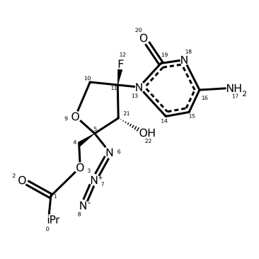 CC(C)C(=O)OC[C@@]1(N=[N+]=[N-])OC[C@](F)(n2ccc(N)nc2=O)[C@@H]1O